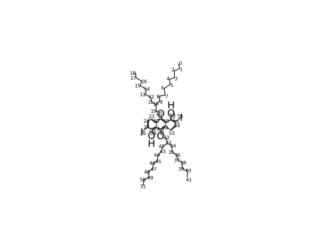 CCCCCCCCCCC(CCCCCCCC)COc1c2ccc(I)c(O)c2c(OCC(CCCCCCCC)CCCCCCCCCC)c2ccc(I)c(O)c12